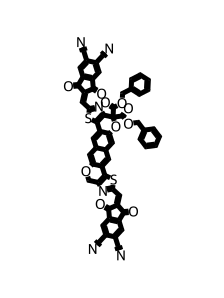 N#Cc1cc2c(cc1C#N)C(=O)C(=Cc1nc3c(s1)C1=CC4C=C5OC(C(=O)OCc6ccccc6)(C(=O)OCc6ccccc6)c6nc(C=C7C(=O)c8cc(C#N)c(C#N)cc8C7=O)sc6C5=CC4C=C1OC3)C2=O